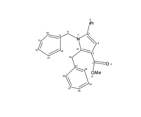 COC(=O)c1cc(C(C)C)n(Cc2ccccc2)c1Cc1ccccc1